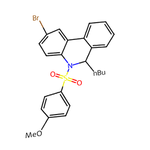 CCCCC1c2ccccc2-c2cc(Br)ccc2N1S(=O)(=O)c1ccc(OC)cc1